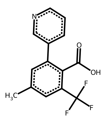 Cc1cc(-c2cccnc2)c(C(=O)O)c(C(F)(F)F)c1